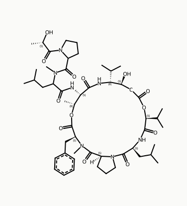 CC(C)CC(C(=O)N[C@@H]1C(=O)N[C@H](C(C)C)[C@@H](O)CC(=O)O[C@@H](C(C)C)C(=O)N[C@@H](CC(C)C)C(=O)N2CCC[C@H]2C(=O)N(C)[C@@H](Cc2ccccc2)C(=O)O[C@@H]1C)N(C)C(=O)C1CCCN1C(=O)[C@H](C)O